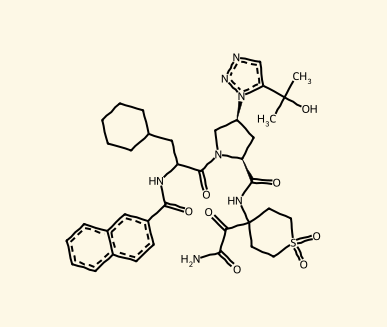 CC(C)(O)c1cnnn1[C@H]1C[C@@H](C(=O)NC2(C(=O)C(N)=O)CCS(=O)(=O)CC2)N(C(=O)C(CC2CCCCC2)NC(=O)c2ccc3ccccc3c2)C1